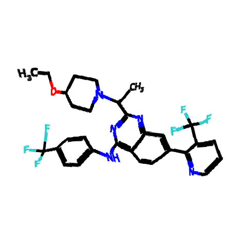 CCOC1CCN(C(C)c2nc(Nc3ccc(C(F)(F)F)cc3)c3ccc(-c4ncccc4C(F)(F)F)cc3n2)CC1